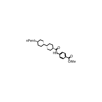 CCCCC[C@H]1CC[C@H]([C@H]2CC[C@H](C(=O)Nc3ccc(C(=O)OC)cc3)CC2)CC1